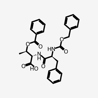 C[C@@H](OC(=O)c1ccccc1)[C@H](NC(=O)[C@H](Cc1ccccc1)NC(=O)OCc1ccccc1)C(=O)O